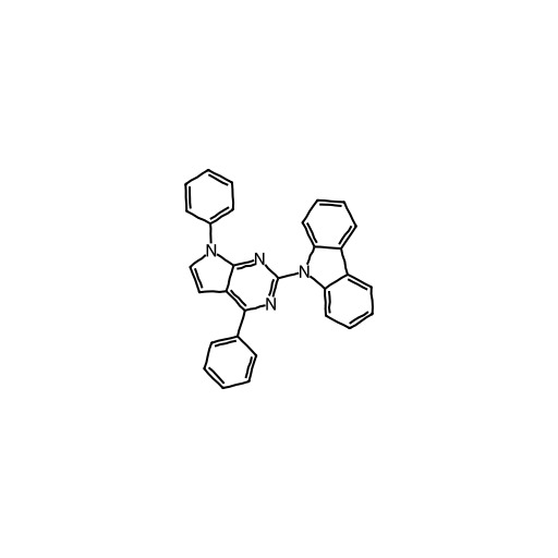 c1ccc(-c2nc(-n3c4ccccc4c4ccccc43)nc3c2ccn3-c2ccccc2)cc1